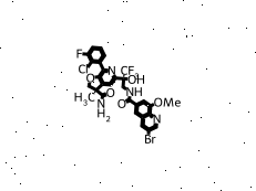 COc1cc(C(=O)NC[C@](O)(c2cc3c(c(-c4cccc(F)c4Cl)n2)OC[C@]3(C)C(N)=O)C(F)(F)F)cc2cc(Br)cnc12